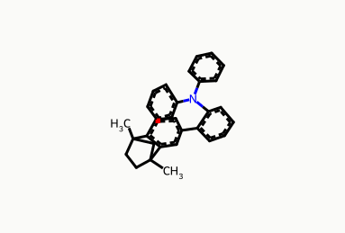 CC12CCC(C)(C1)c1cc(-c3ccccc3N(c3ccccc3)c3ccccc3)ccc12